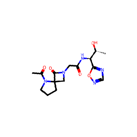 CC(=O)N1CCCC12CN(CC(=O)N[C@H](c1ncno1)[C@@H](C)O)C2=O